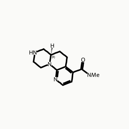 CNC(=O)c1ccnc2c1CC[C@@H]1CNCCN21